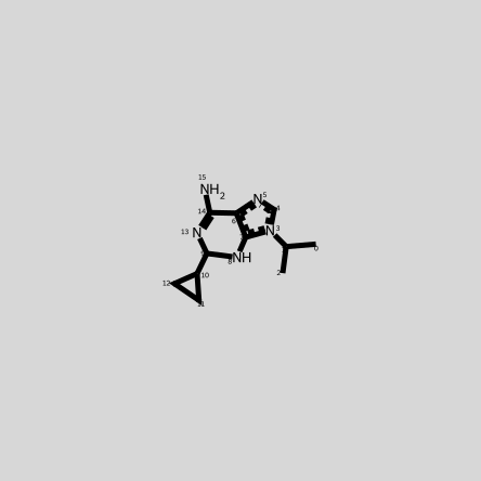 CC(C)n1cnc2c1NC(C1CC1)N=C2N